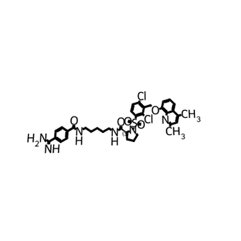 Cc1cc(C)c2cccc(OCc3c(Cl)ccc(S(=O)(=O)N4CCC[C@H]4C(=O)NCCCCCNC(=O)c4ccc(C(=N)N)cc4)c3Cl)c2n1